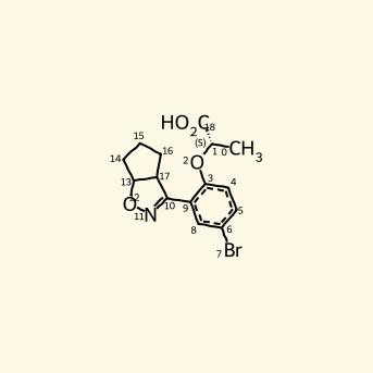 C[C@H](Oc1ccc(Br)cc1C1=NOC2CCCC12)C(=O)O